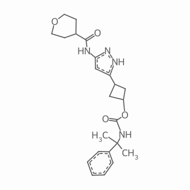 CC(C)(NC(=O)OC1CC(c2cc(NC(=O)C3CCOCC3)n[nH]2)C1)c1ccccc1